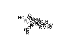 COc1cc(N=Nc2c(N)c(N=Nc3ccccc3S(=O)(=O)O)c(N)c(N=Nc3ccc([SH](=O)=O)cc3)c2C(=O)O)c(S(=O)(=O)O)cc1N=Nc1ccc([SH](=O)=O)cc1